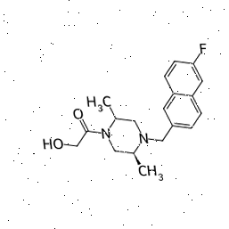 CC1CN(Cc2ccc3cc(F)ccc3c2)[C@@H](C)CN1C(=O)CO